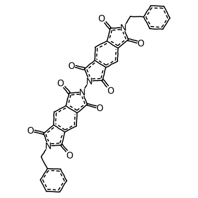 O=c1c2cc3c(=O)n(-n4c(=O)c5cc6c(=O)n(Cc7ccccc7)c(=O)c6cc5c4=O)c(=O)c3cc2c(=O)n1Cc1ccccc1